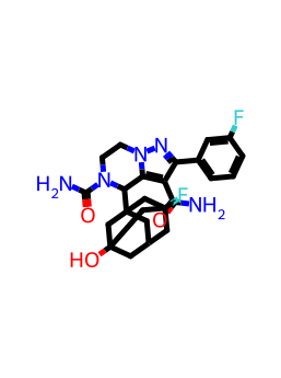 NC(=O)c1c(-c2cccc(F)c2)nn2c1C(C13CC4CC(O)(CC(F)(C4)C1)C3)N(C(N)=O)CC2